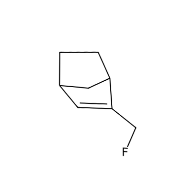 FCC1=CC2CCC1C2